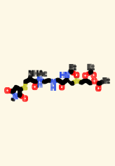 CCC(=O)N[C@@H](CSCC(COC(=O)CC)OC(=O)CC)C(=O)CNCCNC(=O)C(CSC1CC(=O)N(C)C1=O)NC(C)=O